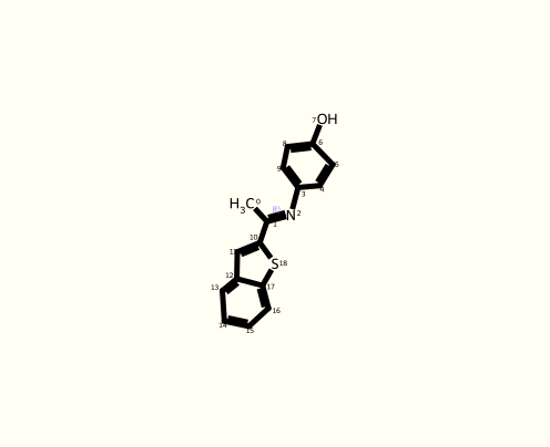 C/C(=N\c1ccc(O)cc1)c1cc2ccccc2s1